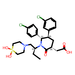 CC[C@@H](CN1CCS(O)(O)CC1)N1C(=O)[C@@H](CC(=O)O)C[C@H](c2cccc(Cl)c2)[C@H]1c1ccc(Cl)cc1